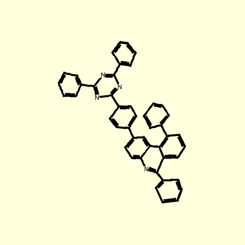 c1ccc(-c2nc(-c3ccccc3)nc(-c3ccc(-c4ccc5nc(-c6ccccc6)c6cccc(-c7ccccc7)c6c5c4)cc3)n2)cc1